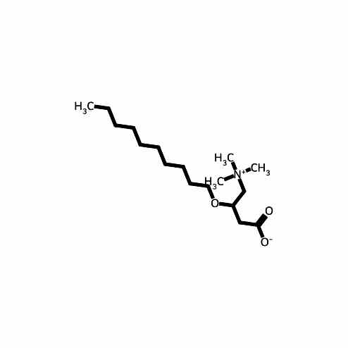 CCCCCCCCCCOC(CC(=O)[O-])C[N+](C)(C)C